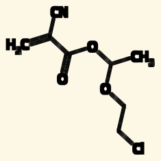 C=C(C#N)C(=O)OC(C)OCCCl